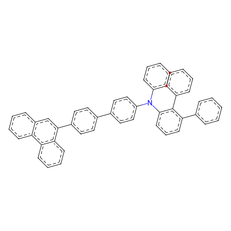 c1ccc(-c2cccc(N(c3ccccc3)c3ccc(-c4ccc(-c5cc6ccccc6c6ccccc56)cc4)cc3)c2-c2ccccc2)cc1